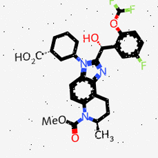 COC(=O)N1c2ccc3c(nc([C@H](O)c4cc(F)ccc4OC(F)F)n3C3CCC[C@@H](C(=O)O)C3)c2CC[C@H]1C